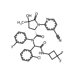 CC1(O)C[C@@H](C(=O)N(c2cccc(F)c2)C(C(=O)NC2CC(F)(F)C2)c2ccccc2Cl)N(c2cc(C#N)ccn2)C1=O